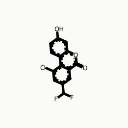 O=c1oc2cc(O)ccc2c2c(Cl)cc(C(F)F)cc12